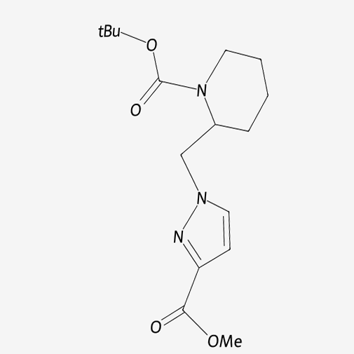 COC(=O)c1ccn(CC2CCCCN2C(=O)OC(C)(C)C)n1